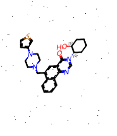 O=c1c2cc(CN3CCN(c4ccsc4)CC3)c3ccccc3c2ncn1[C@H]1CCCC[C@@H]1O